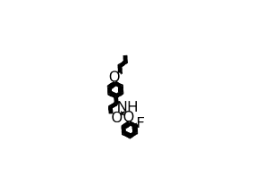 CCCCOc1ccc(C(CC)NC(=O)Oc2ccccc2F)cc1